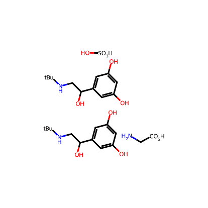 CC(C)(C)NCC(O)c1cc(O)cc(O)c1.CC(C)(C)NCC(O)c1cc(O)cc(O)c1.NCC(=O)O.O=S(=O)(O)O